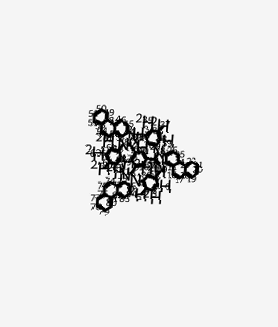 [2H]c1c([2H])c([2H])c(-n2c(-c3cc(-c4nc5c6ccc7ccccc7c6ccc5n4-c4c([2H])c([2H])c([2H])c([2H])c4[2H])cc(-c4nc5ccc6c7ccccc7ccc6c5n4-c4c([2H])c([2H])c([2H])c([2H])c4[2H])c3)nc3c4ccc5ccccc5c4ccc32)c([2H])c1[2H]